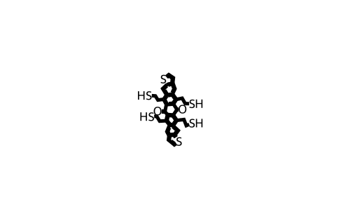 O=C1c2c(c(CCS)c3cc4sccc4cc3c2CCS)C(=O)c2c1c(CCS)c1cc3sccc3cc1c2CCS